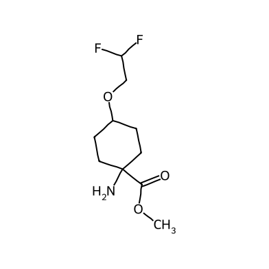 COC(=O)C1(N)CCC(OCC(F)F)CC1